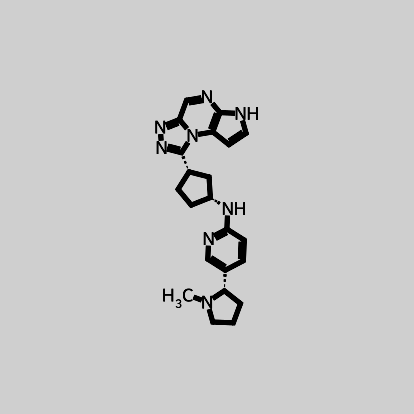 CN1CCC[C@H]1c1ccc(N[C@@H]2CC[C@H](c3nnc4cnc5[nH]ccc5n34)C2)nc1